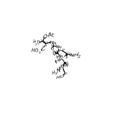 CC(=O)OC(C)[C@H](NC(=O)N[C@@H](CC(N)=O)C(=O)NNC(=O)[C@@H](N)CO)C(=O)O